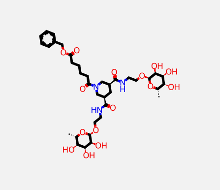 C[C@@H]1O[C@@H](OCCNC(=O)[C@@H]2C[C@H](C(=O)NCCO[C@@H]3O[C@@H](C)[C@@H](O)[C@@H](O)[C@@H]3O)CN(C(=O)CCCCC(=O)OCc3ccccc3)C2)[C@@H](O)[C@H](O)[C@@H]1O